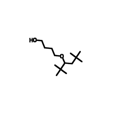 CC(C)(C)CC(OCCCCO)C(C)(C)C